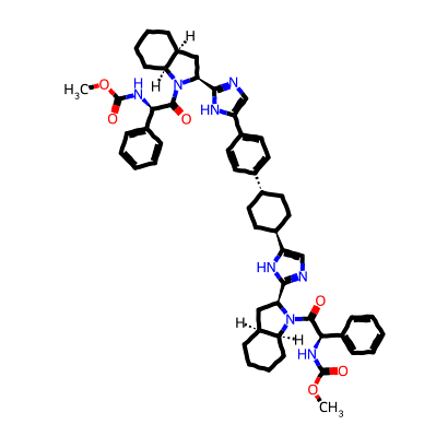 COC(=O)N[C@@H](C(=O)N1[C@H](c2ncc(-c3ccc([C@H]4CC[C@H](c5cnc([C@@H]6C[C@@H]7CCCC[C@@H]7N6C(=O)[C@H](NC(=O)OC)c6ccccc6)[nH]5)CC4)cc3)[nH]2)C[C@@H]2CCCC[C@@H]21)c1ccccc1